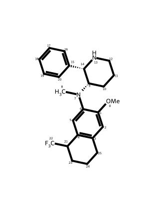 COc1cc2c(cc1N(C)[C@H]1CCCN[C@H]1c1ccccc1)C(C(F)(F)F)CCC2